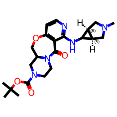 CN1C[C@@H]2C(Nc3nccc4c3C(=O)N3CCN(C(=O)OC(C)(C)C)CC3CO4)[C@@H]2C1